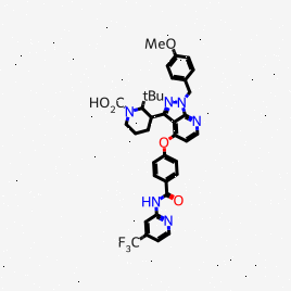 COc1ccc(Cn2nc(C3CCCN(C(=O)O)C3C(C)(C)C)c3c(Oc4ccc(C(=O)Nc5cc(C(F)(F)F)ccn5)cc4)ccnc32)cc1